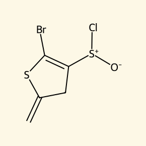 C=C1CC([S+]([O-])Cl)=C(Br)S1